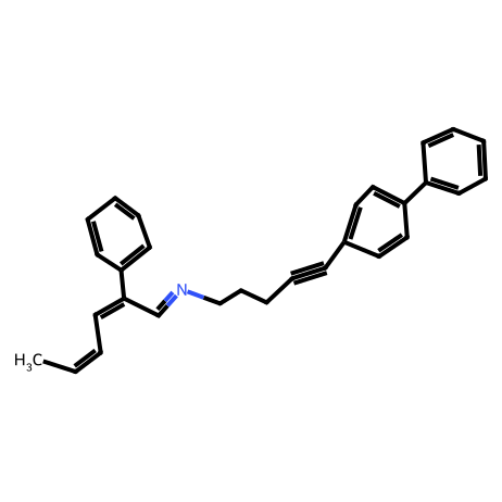 C\C=C/C=C(\C=N\CCCC#Cc1ccc(-c2ccccc2)cc1)c1ccccc1